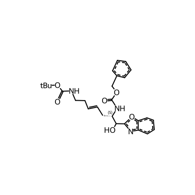 CC(C)(C)OC(=O)NCCC=CC[C@H](NC(=O)OCc1ccccc1)C(O)c1nc2ccccc2o1